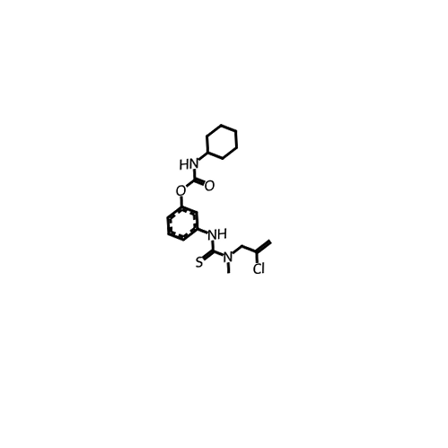 C=C(Cl)CN(C)C(=S)Nc1cccc(OC(=O)NC2CCCCC2)c1